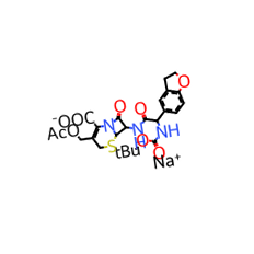 CC(=O)OCC1=C(C(=O)[O-])N2C(=O)C(NC(=O)C(NC(=O)OC(C)(C)C)c3ccc4c(c3)CCO4)C2SC1.[Na+]